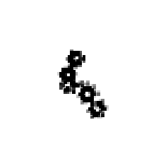 c1cncc(-c2ccc3ncnc(N[C@H]4CC[C@H](N5CCOCC5)CC4)c3c2)c1